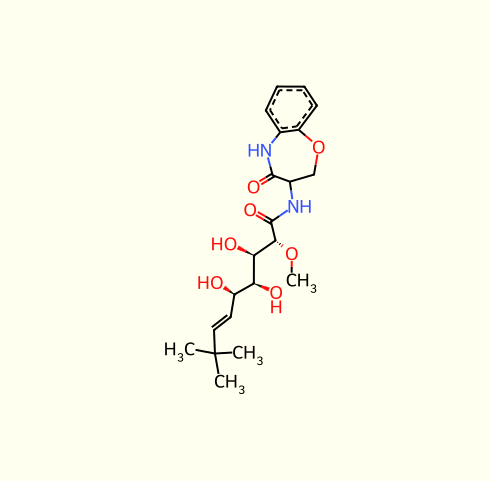 CO[C@@H](C(=O)NC1COc2ccccc2NC1=O)[C@H](O)[C@@H](O)[C@H](O)C=CC(C)(C)C